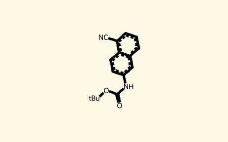 CC(C)(C)OC(=O)Nc1ccc2c(C#N)cccc2c1